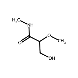 CNC(=O)C(CO)OC